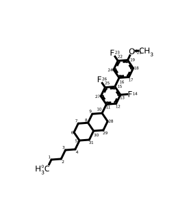 CCCCCC1CCC2CC(c3cc(F)c(-c4ccc(OC)c(F)c4)c(F)c3)CCC2C1